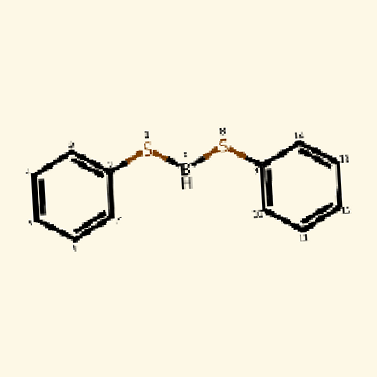 B(Sc1ccccc1)Sc1ccccc1